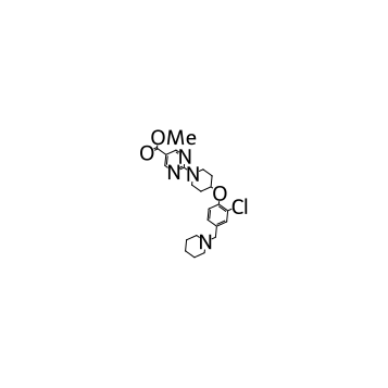 COC(=O)c1cnc(N2CCC(Oc3ccc(CN4CCCCC4)cc3Cl)CC2)nc1